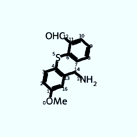 COc1ccc(Sc2ccccc2C=O)c(CN)c1